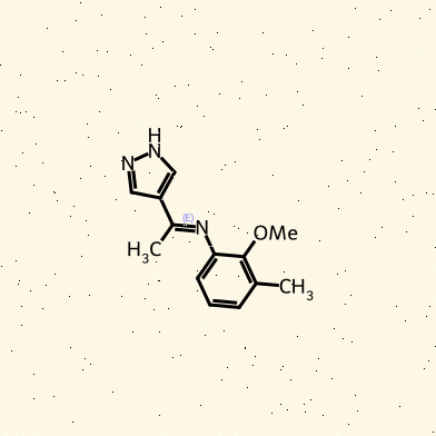 COc1c(C)cccc1/N=C(\C)c1cn[nH]c1